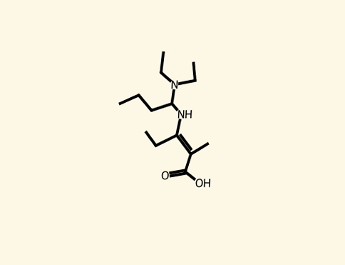 CCCC(N/C(CC)=C(\C)C(=O)O)N(CC)CC